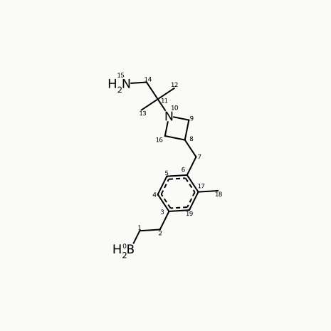 BCCc1ccc(CC2CN(C(C)(C)CN)C2)c(C)c1